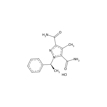 Cc1c(C(N)=O)nn([C@@H](C)c2ccccc2)c1C(N)=O.Cl